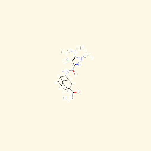 CN(C)c1c(Cl)c(C(=O)NC2C3CC4CC2CC(C(N)=O)(C4)C3)nn1C